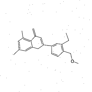 C=C1C=C(c2ccc(COC)c(CC)c2)Cc2cc(C)cc(C)c21